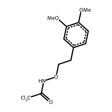 COc1ccc(CCONC(=O)C(Cl)(Cl)Cl)cc1OC